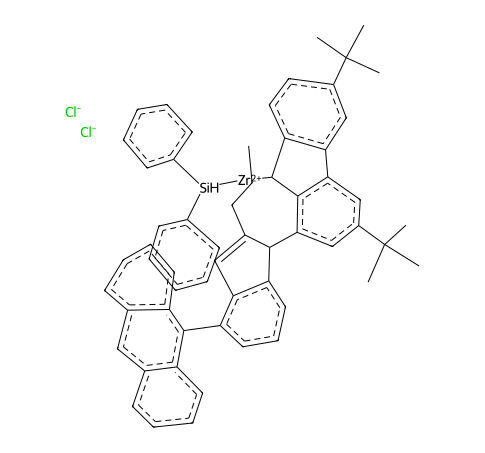 CCCC1=Cc2c(-c3c4ccccc4cc4ccccc34)cccc2C1c1cc(C(C)(C)C)cc2c1[CH]([Zr+2][SiH](c1ccccc1)c1ccccc1)c1ccc(C(C)(C)C)cc1-2.[Cl-].[Cl-]